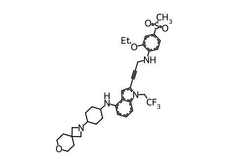 CCOc1cc(S(C)(=O)=O)ccc1NCC#Cc1cc2c(NC3CCC(N4CC5(CCOCC5)C4)CC3)cccc2n1CC(F)(F)F